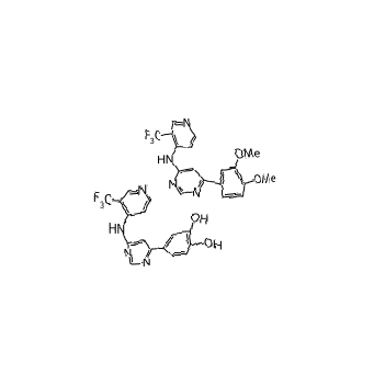 COc1ccc(-c2cc(Nc3ccncc3C(F)(F)F)ncn2)cc1OC.Oc1ccc(-c2cc(Nc3ccncc3C(F)(F)F)ncn2)cc1O